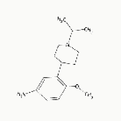 COc1ccc(N)cc1C1CCN(C(C)C)CC1